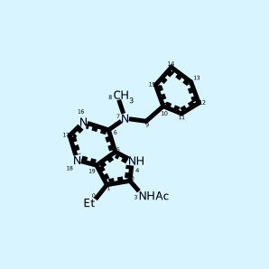 CCc1c(NC(C)=O)[nH]c2c(N(C)Cc3ccccc3)ncnc12